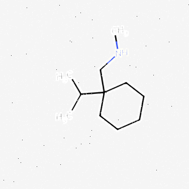 CNCC1(C(C)C)CCCCC1